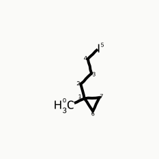 CC1(CCCI)CC1